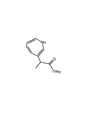 COC(=O)C(C)C1=CNC=CC=C1